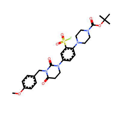 COc1ccc(CN2C(=O)CCN(c3ccc(N4CCN(C(=O)OC(C)(C)C)CC4)c(S(=O)(=O)F)c3)C2=O)cc1